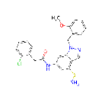 COc1ccccc1Cn1ncc2c(SN)cc(NC(=O)Cc3ccccc3Cl)cc21